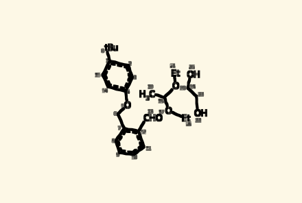 CC(C)(C)c1ccc(OCc2ccccc2C=O)cc1.CCOC(C)OCC.OCCO